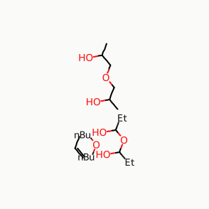 C=CC.CC(O)COCC(C)O.CCC(O)OC(O)CC.CCCCOCCCC